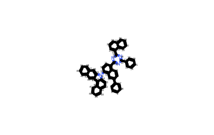 c1ccc(-c2ccc3c(-c4nc(-c5ccccc5)nc(-c5cccc6ccccc56)n4)ccc(-n4c5cc6ccccc6cc5c5c6ccccc6ccc54)c3c2)cc1